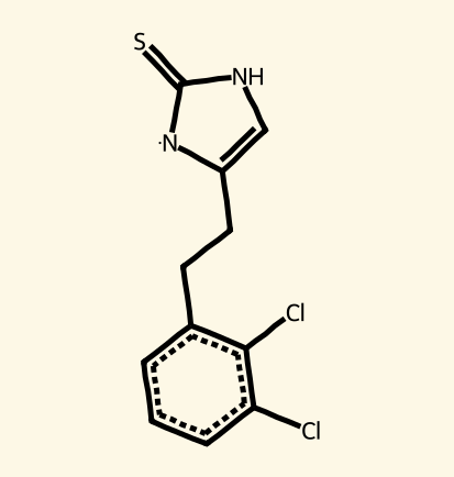 S=C1[N]C(CCc2cccc(Cl)c2Cl)=CN1